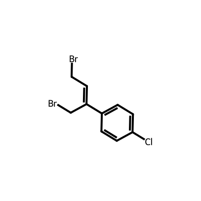 Clc1ccc(C(=CCBr)CBr)cc1